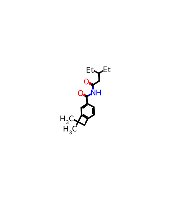 CCC(CC)CC(=O)NC(=O)c1ccc2c(c1)C(C)(C)C2